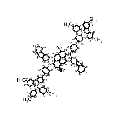 Cc1ccc([Si](c2ccc(C)cc2)(c2ccc(C)cc2)c2ccc(-c3ccc(N(c4ccc5c(c4)oc4ccccc45)c4cc(C(C)C)c5ccc6c(N(c7ccc(-c8ccc([Si](c9ccc(C)cc9)(c9ccc(C)cc9)c9ccc(C)cc9)cc8)cc7)c7ccc8c(c7)oc7ccccc78)cc(C(C)C)c7ccc4c5c76)cc3)cc2)cc1